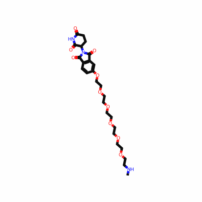 CNCCOCCOCCOCCOCCOCCOc1ccc2c(c1)C(=O)N(C1CCC(=O)NC1=O)C2=O